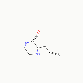 C=CCC1NCC[N]C1=C=O